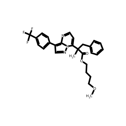 COCCCCOC(=O)C(C)(Cc1ccccc1)c1ccnc2c(-c3ccc(C(F)(F)F)cc3)cnn12